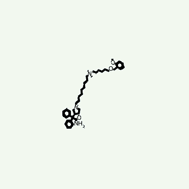 COc1ccccc1COCCCCCC[N+](C)(C)CCCCCCCCCN1CCC(C(C(N)=O)(c2ccccc2)c2ccccc2)C1